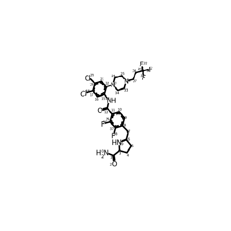 NC(=O)C1CCC(Cc2ccc(C(=O)Nc3cc(Cl)c(Cl)cc3N3CCN(CCC(F)(F)F)CC3)c(F)c2F)N1